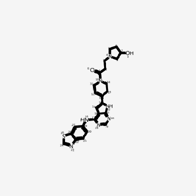 O=C(CCN1CCC(O)C1)N1CC=C(c2cc3c(Nc4ccc5ncsc5c4)ncnc3[nH]2)CC1